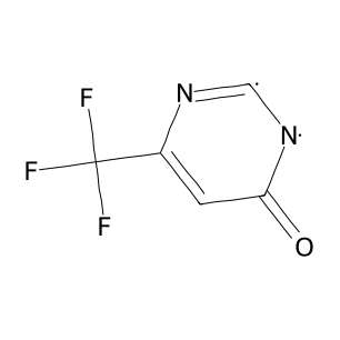 O=C1C=C(C(F)(F)F)N=[C][N]1